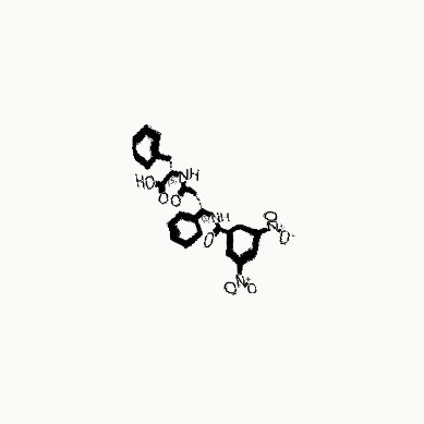 O=C(C[C@H](NC(=O)c1cc([N+](=O)[O-])cc([N+](=O)[O-])c1)c1ccccc1)N[C@@H](Cc1ccccc1)C(=O)O